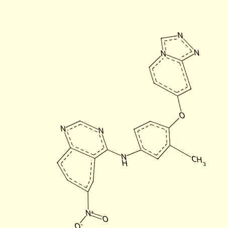 Cc1cc(Nc2ncnc3ccc([N+](=O)[O-])cc23)ccc1Oc1ccn2cnnc2c1